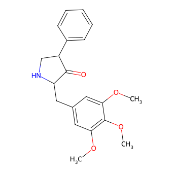 COc1cc(CC2NCC(c3ccccc3)C2=O)cc(OC)c1OC